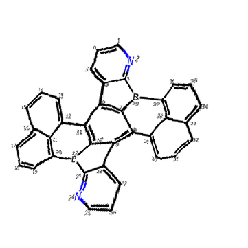 c1cnc2c(c1)-c1c3c(c4c5c1-c1cccc6cccc(c16)B5c1ncccc1-4)-c1cccc4cccc(c14)B23